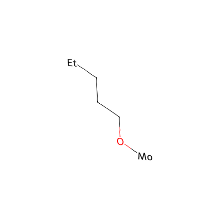 CCCCC[O][Mo]